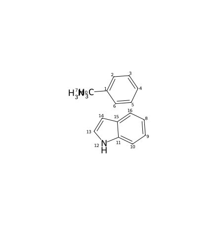 Cc1ccccc1.N.c1ccc2[nH]ccc2c1